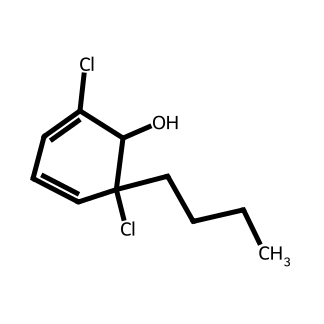 CCCCC1(Cl)C=CC=C(Cl)C1O